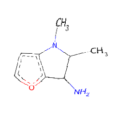 CC1C(N)c2occc2N1C